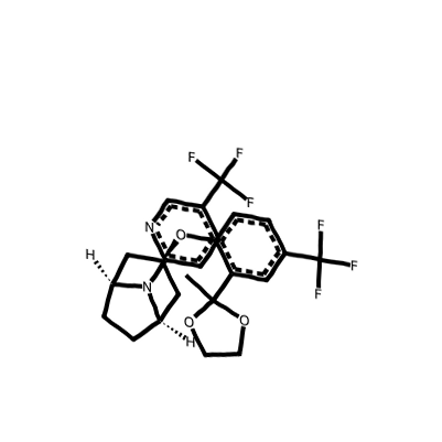 CC1(c2cc(C(F)(F)F)ccc2O[C@H]2C[C@H]3CC[C@@H](C2)N3c2ccc(C(F)(F)F)cn2)OCCO1